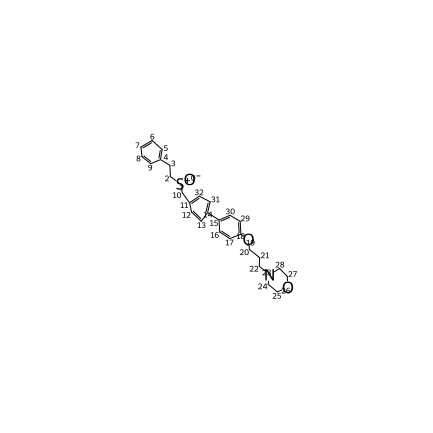 [O-][S+](CCc1ccccc1)Cc1ccc(-c2ccc(OCCCN3CCOCC3)cc2)cc1